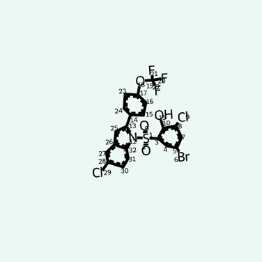 O=S(=O)(c1cc(Br)cc(Cl)c1O)n1c(-c2ccc(OC(F)(F)F)cc2)cc2cc(Cl)ccc21